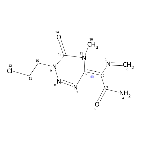 C=N/C(C(N)=O)=C1/N=NN(CCCl)C(=O)N1C